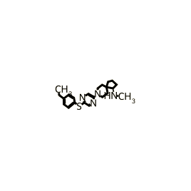 CCc1ccc(Sc2cnc(N3CCC4(CCC[C@H]4NC)CC3)cn2)cc1